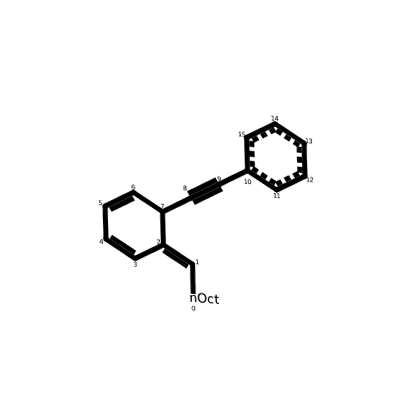 CCCCCCCCC=C1C=CC=CC1C#Cc1ccccc1